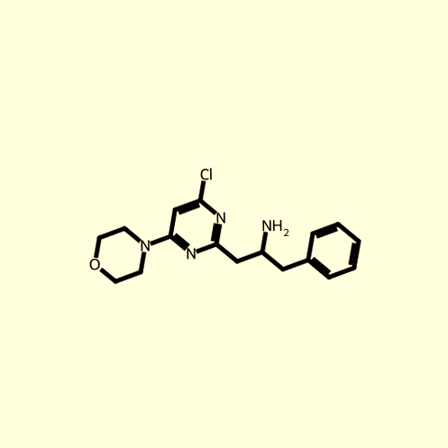 NC(Cc1ccccc1)Cc1nc(Cl)cc(N2CCOCC2)n1